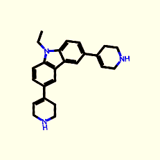 CCn1c2ccc(C3=CCNCC3)cc2c2cc(C3=CCNCC3)ccc21